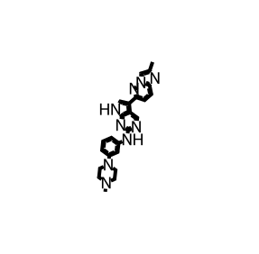 Cc1cn2nc(-c3c[nH]c4nc(Nc5cccc(N6CCN(C)CC6)c5)ncc34)ccc2n1